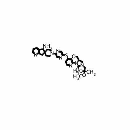 COC(C)(C)CN1CC2COc3c(Sc4cnc(N5CCC6(CC5)Cc5ncccc5[C@H]6N)cn4)ccnc3N2C1=O